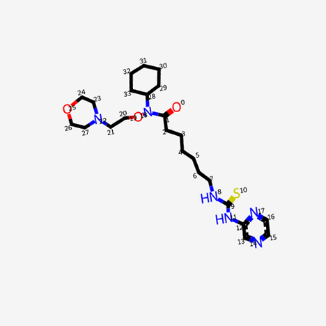 O=C(CCCCCCNC(=S)Nc1cnccn1)N(OCCN1CCOCC1)C1CCCCC1